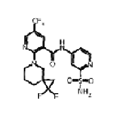 NS(=O)(=O)c1cc(NC(=O)c2cc(C(F)(F)F)cnc2N2CCC[C@@]3(C2)CC3(F)F)ccn1